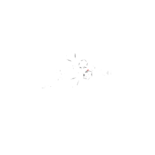 O=C(CCC1(CC2(CCC(=O)OCCO)C3=CCCC=C3c3ccccc32)C2=CCCC=C2c2ccccc21)OCCO